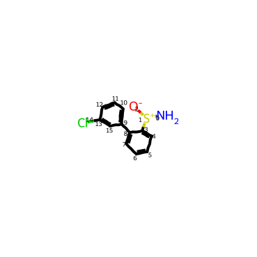 N[S+]([O-])c1ccccc1-c1cccc(Cl)c1